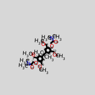 COCc1cc(C(C)(C)c2cc(COC)c(OCC(=O)N(C)C)c(COC)c2)cc(COC)c1OCC(=O)N(C)C